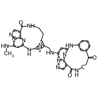 CNc1cc2nc3c(cnn13)C(=O)NCCCc1nc(sc1CNc1cc3nc4c(cnn14)C(=O)NCCC(=O)c1cccc(c1)N3)N2